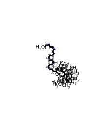 CC/C=C\C/C=C\C/C=C\C/C=C\C/C=C\C/C=C\CCC(=O)OC[C@@H](O[Si](C)(C)C(C)(C)C)[C@@H](O[Si](C)(C)C(C)(C)C)[C@H](O[Si](C)(C)C(C)(C)C)[C@@H](CO)O[Si](C)(C)C(C)(C)C